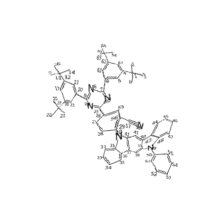 CC(C)(C)c1cc(-c2nc(-c3cc(C(C)(C)C)cc(C(C)(C)C)c3)nc(-c3ccc(-n4c5ccccc5c5cc6c(cc54)c4ccccc4n6-c4ccccc4)c(C#N)c3)n2)cc(C(C)(C)C)c1